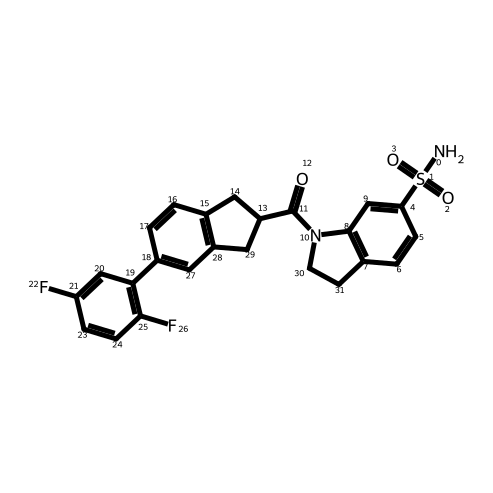 NS(=O)(=O)c1ccc2c(c1)N(C(=O)C1Cc3ccc(-c4cc(F)ccc4F)cc3C1)CC2